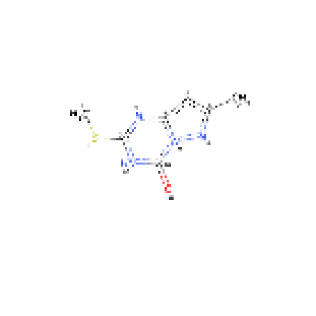 CSc1nc2cc(C)nn2c(=O)[nH]1